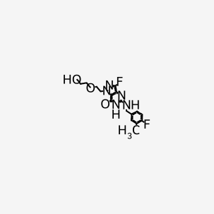 Cc1cc(CNc2nc3c(F)nn(CCOCCO)c3c(=O)[nH]2)ccc1F